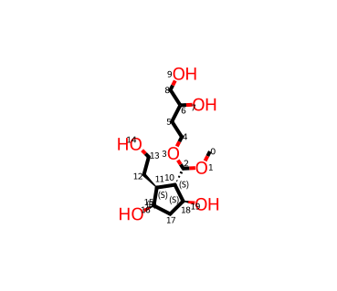 COC(OCCC(O)CO)[C@H]1[C@H](CCO)[C@H](O)C[C@@H]1O